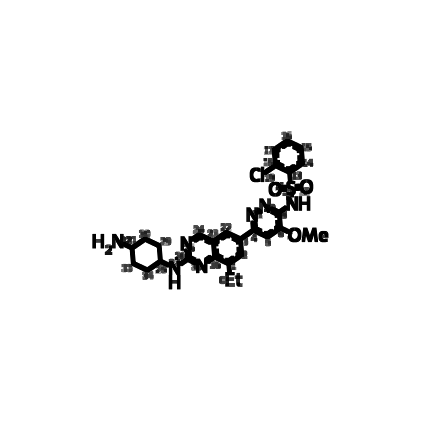 CCc1cc(-c2cc(OC)c(NS(=O)(=O)c3ccccc3Cl)nn2)cc2cnc(NC3CCC(N)CC3)nc12